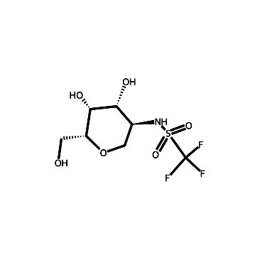 O=S(=O)(N[C@H]1CO[C@H](CO)[C@H](O)[C@@H]1O)C(F)(F)F